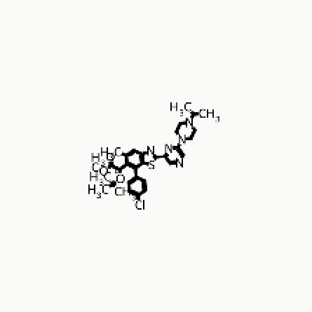 COC(=O)[C@@H](OC(C)(C)C)c1c(C)cc2nc(-c3cncc(N4CCN(C(C)C)CC4)n3)sc2c1-c1ccc(Cl)cc1